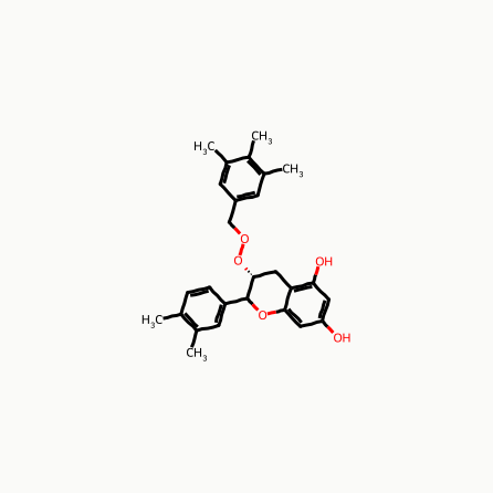 Cc1ccc(C2Oc3cc(O)cc(O)c3C[C@H]2OOCc2cc(C)c(C)c(C)c2)cc1C